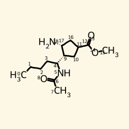 CCCCC(NC(C)=O)[C@H]1CC(C(=O)OC)C[C@H]1N